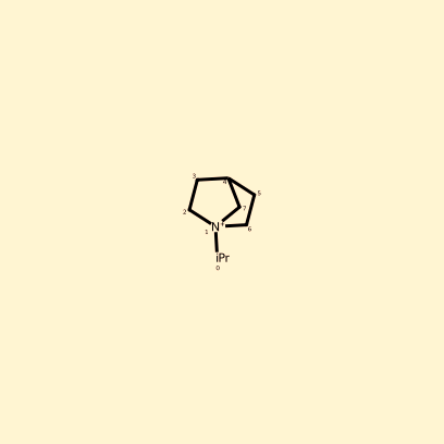 CC(C)[N+]12CCC(CC1)C2